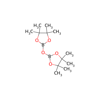 CC1(C)OB(OB2OC(C)(C)C(C)(C)O2)OC1(C)C